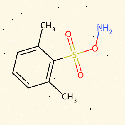 Cc1cccc(C)c1S(=O)(=O)ON